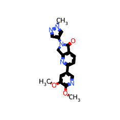 COc1cc(-c2ccc3c(n2)CN(c2cnn(C)c2)C3=O)cnc1OC